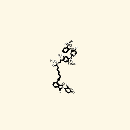 COc1cc(CCN(C)C(=O)CCCCCC#Cc2cccc3c2C(=O)N(C2CCC(=O)NC2=O)C3=O)c(C)cc1Nc1ncc(Cl)c(Nc2ccccc2S(=O)(=O)C(C)C)n1